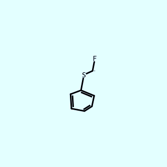 F[CH]Sc1ccccc1